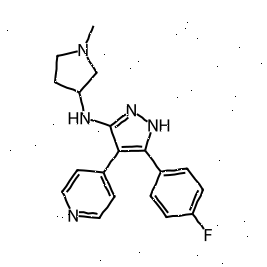 CN1CCC(Nc2n[nH]c(-c3ccc(F)cc3)c2-c2ccncc2)C1